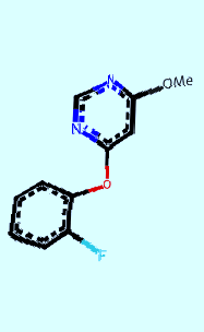 COc1cc(Oc2ccccc2F)ncn1